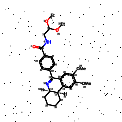 CCOC(CNC(=O)c1ccc(C2=N[C@@H]3CCCC[C@@H]3c3cc(OC)c(OC)cc32)cc1)OCC